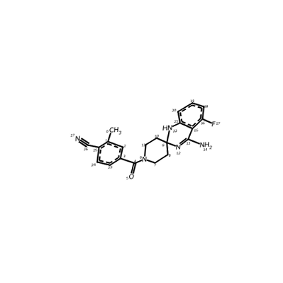 Cc1cc(C(=O)N2CCC3(CC2)N=C(N)c2c(F)cccc2N3)ccc1C#N